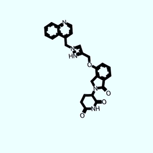 O=C1CCC(N2Cc3c(OCc4cn(Cc5ccnc6ccccc56)[nH]4)cccc3C2=O)C(=O)N1